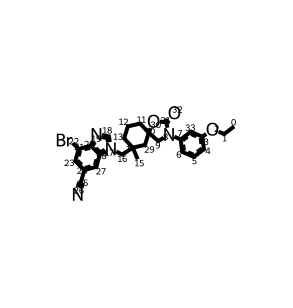 CCOc1cccc(N2CC3(CCCC(C)(Cn4cnc5c(Br)cc(C#N)cc54)C3)OC2=O)c1